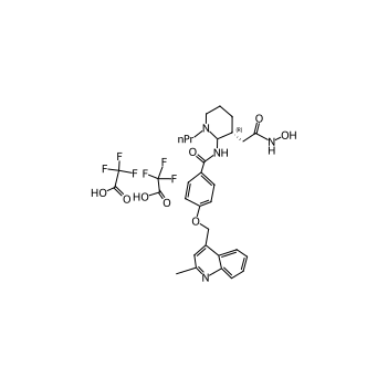 CCCN1CCC[C@H](CC(=O)NO)C1NC(=O)c1ccc(OCc2cc(C)nc3ccccc23)cc1.O=C(O)C(F)(F)F.O=C(O)C(F)(F)F